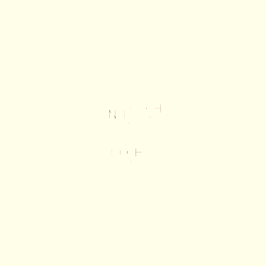 CN.O=C(O)/C=C/C(=O)O